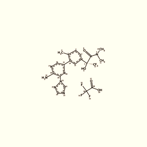 Cc1ccc([C@](O)(C(=O)N(C)C)C(F)(F)F)cc1-c1cnc(N)c(-n2cncn2)n1.O=C(O)C(F)(F)F